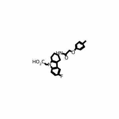 Cc1ccc(OCC(=O)NC2CCc3c(c4cc(F)ccc4n3CC(=O)O)C2)cc1